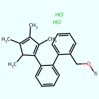 CC1=C(C)C(C)C(c2ccccc2-c2ccccc2C[O][Ti])=C1C.Cl.Cl